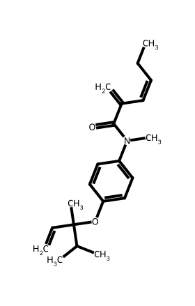 C=CC(C)(Oc1ccc(N(C)C(=O)C(=C)/C=C\CC)cc1)C(C)C